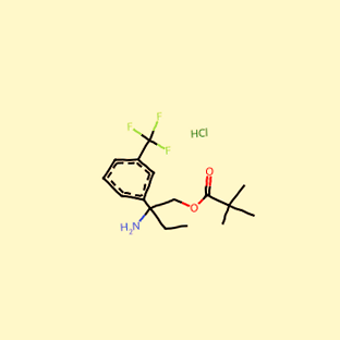 CCC(N)(COC(=O)C(C)(C)C)c1cccc(C(F)(F)F)c1.Cl